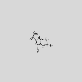 COC(=O)c1cc(Cl)c2cc(I)ccc2n1